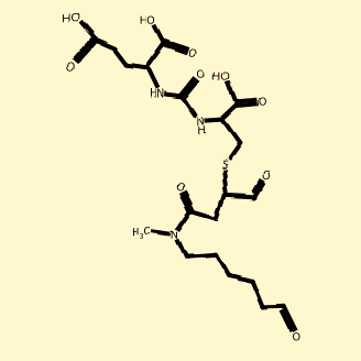 CN(CCCCCC=O)C(=O)CC(C=O)SCC(NC(=O)NC(CCC(=O)O)C(=O)O)C(=O)O